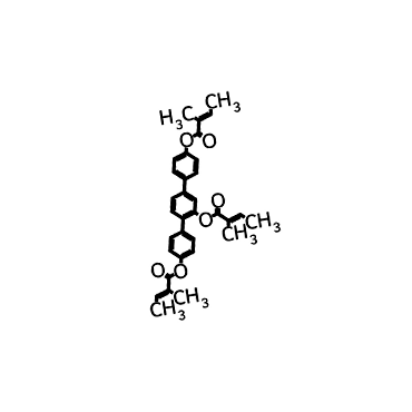 C/C=C(\C)C(=O)Oc1ccc(-c2ccc(-c3ccc(OC(=O)/C(C)=C/C)cc3)c(OC(=O)/C(C)=C/C)c2)cc1